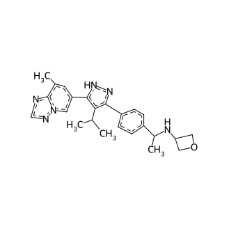 Cc1cc(-c2[nH]nc(-c3ccc(C(C)NC4COC4)cc3)c2C(C)C)cn2ncnc12